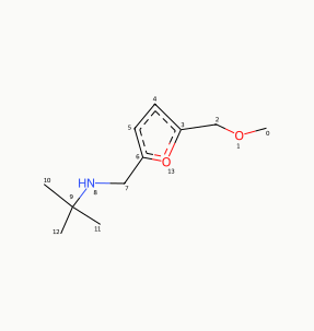 COCc1ccc(CNC(C)(C)C)o1